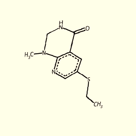 CCSc1cnc2c(c1)C(=O)NCN2C